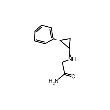 NC(=O)CN[C@@H]1C[C@H]1c1ccccc1